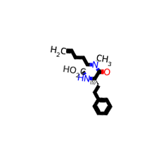 C=CCCCN(C)C(=O)[C@H](CCc1ccccc1)NC(=O)O